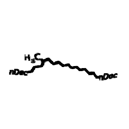 CCCCCCCCCCCC=CCCCCCCCCCC(C)CCCCCCCCCCCCC